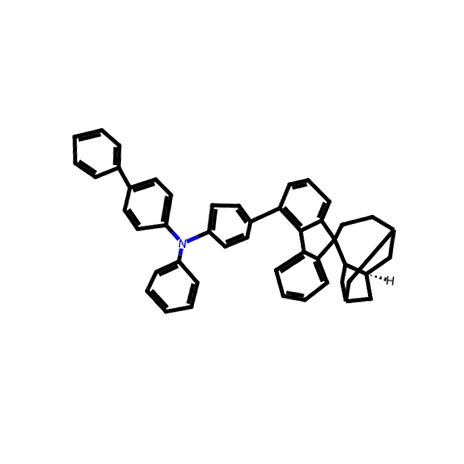 c1ccc(-c2ccc(N(c3ccccc3)c3ccc(-c4cccc5c4-c4ccccc4C54CCC5CC6CC4[C@@H](C5)C6)cc3)cc2)cc1